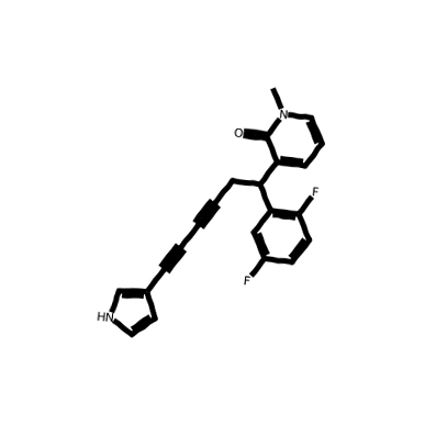 Cn1cccc(C(CC#CC#Cc2cc[nH]c2)c2cc(F)ccc2F)c1=O